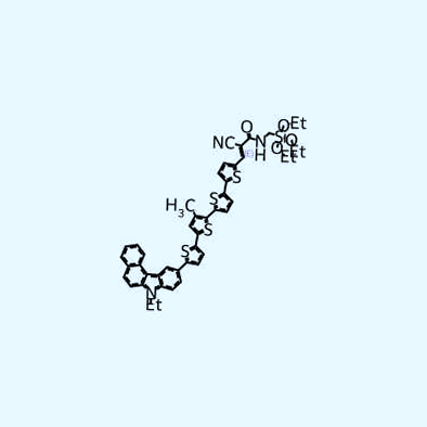 CCO[Si](CNC(=O)/C(C#N)=C/c1ccc(-c2ccc(-c3sc(-c4ccc(-c5ccc6c(c5)c5c7ccccc7ccc5n6CC)s4)cc3C)s2)s1)(OCC)OCC